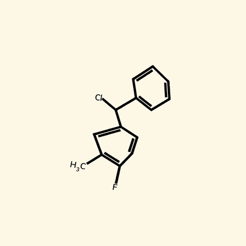 Cc1cc(C(Cl)c2ccccc2)ccc1F